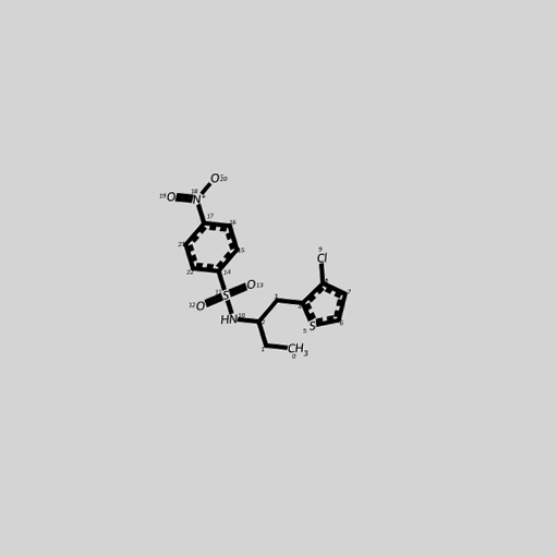 CCC(Cc1sccc1Cl)NS(=O)(=O)c1ccc([N+](=O)[O-])cc1